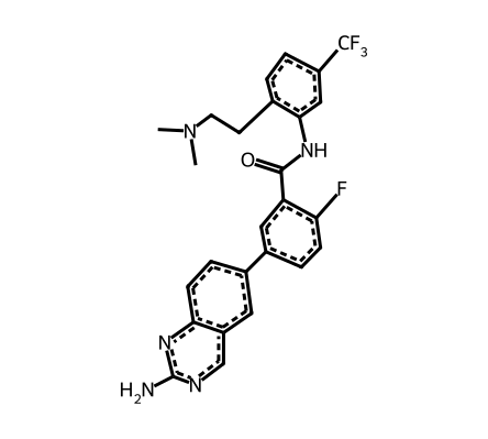 CN(C)CCc1ccc(C(F)(F)F)cc1NC(=O)c1cc(-c2ccc3nc(N)ncc3c2)ccc1F